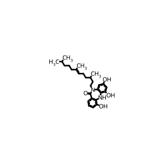 C/C(=C\CCC(C)CCN1C(=O)c2cccc(O)c2Nc2c(O)cc(O)cc21)CCCC(C)C